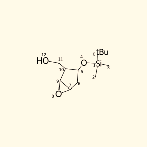 CC(C)(C)[Si](C)(C)OC1CC2OC2C1CO